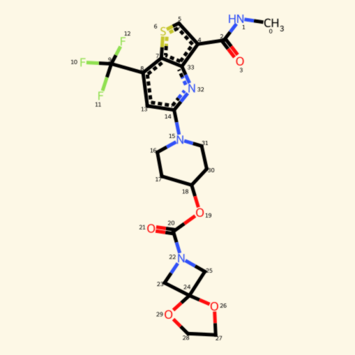 CNC(=O)c1csc2c(C(F)(F)F)cc(N3CCC(OC(=O)N4CC5(C4)OCCO5)CC3)nc12